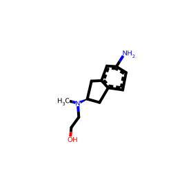 CN(CCO)[C@@H]1Cc2ccc(N)cc2C1